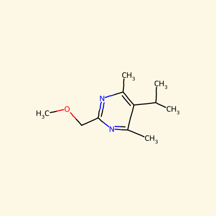 COCc1nc(C)c(C(C)C)c(C)n1